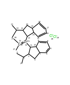 CC(C)C1CC2C=CC=CC2[CH]1[Zr+2]([CH]1C2C=CC=CC2CC1C(C)C)=[Ge]([CH3])[CH3].[Cl-].[Cl-]